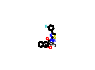 CC1(C(=O)Nc2nc(-c3cccc(F)c3)cs2)CC2C(=O)CC1c1ccccc12